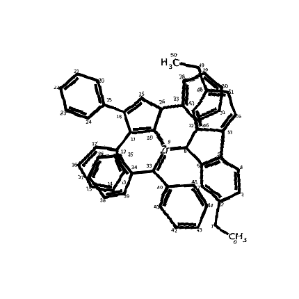 CCc1ccc2c(c1)[CH]([Zr]([C]1=C(c3ccccc3)C(c3ccccc3)=CC1c1ccccc1)=[C](c1ccccc1)c1ccccc1)c1cc(CC)ccc1-2